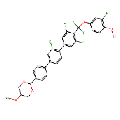 CCCCOC1COC(c2ccc(-c3ccc(-c4cc(F)c(C(F)(F)Oc5ccc(OCC)c(F)c5)c(F)c4)c(F)c3)cc2)OC1